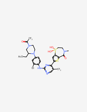 CCc1cc(N2CCN(C(=O)C(F)(F)F)CC2COC(C)=O)ccc1Nc1ncc(C(F)(F)F)c(-c2cc3c(s2)C(=O)N(C)CCS3(O)O)n1